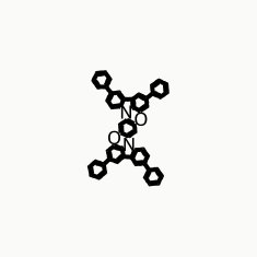 c1ccc(-c2ccc3c(c2)c2cc(-c4ccccc4)cc4oc5cc6c(cc5n3c42)oc2cc(-c3ccccc3)cc3c4cc(-c5ccccc5)ccc4n6c23)cc1